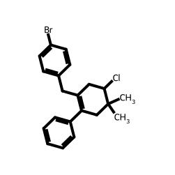 CC1(C)CC(c2ccccc2)=C(Cc2ccc(Br)cc2)CC1Cl